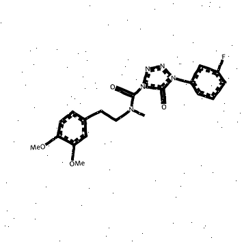 COc1ccc(CCN(C)C(=O)n2nnn(-c3cccc(F)c3)c2=O)cc1OC